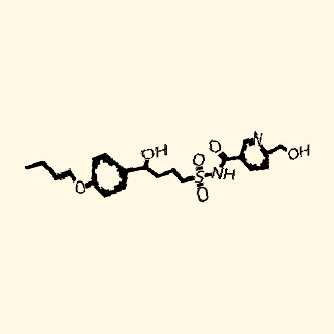 CCCCOc1ccc(C(O)CCCS(=O)(=O)NC(=O)c2ccc(CO)nc2)cc1